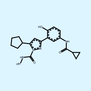 CCCNC(=O)n1nc(-c2cc(NC(=O)C3CC3)ccc2O)cc1C1CCCC1